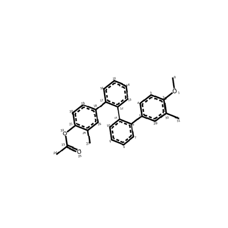 COc1ccc(-c2ccccc2-c2ccccc2-c2ccc(OC(C)=O)c(C)c2)cc1C